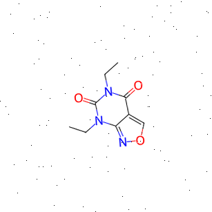 CCn1c(=O)c2conc2n(CC)c1=O